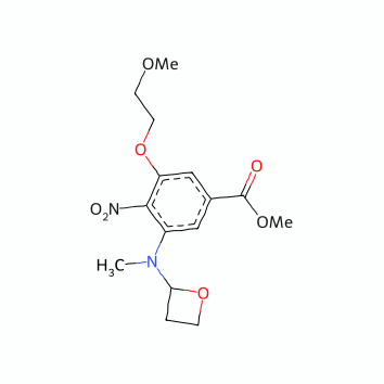 COCCOc1cc(C(=O)OC)cc(N(C)C2CCO2)c1[N+](=O)[O-]